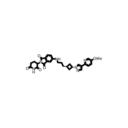 COc1ccc(-c2cnn([C@H]3C[C@H](CCCNc4ccc5c(c4)C(=O)N(C4CCC(=O)NC4=O)C5=O)C3)c2)nc1